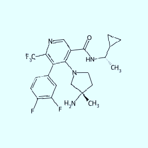 C[C@H](NC(=O)c1cnc(C(F)(F)F)c(-c2ccc(F)c(F)c2)c1N1CC[C@](C)(N)C1)C1CC1